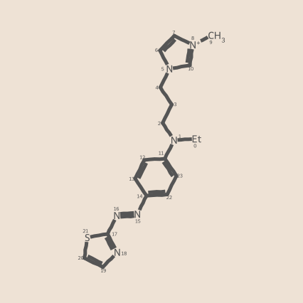 CCN(CCCn1cc[n+](C)c1)c1ccc(/N=N/c2nccs2)cc1